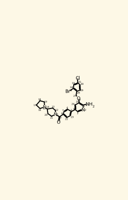 Nc1ncc(-c2ccc(C(=O)N3CCC(N4CCCC4)CC3)cc2)cc1OCc1ccc(Cl)cc1Br